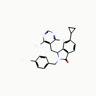 COc1ccc(CN2C(=O)c3ccc(C4CC4)cc3C2Cc2c(C)ncnc2C#N)cc1